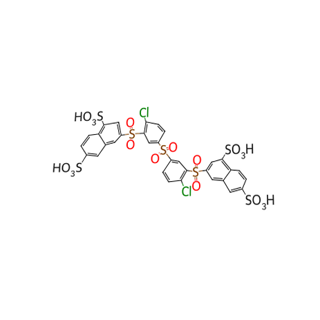 O=S(=O)(O)c1ccc2c(S(=O)(=O)O)cc(S(=O)(=O)c3cc(S(=O)(=O)c4ccc(Cl)c(S(=O)(=O)c5cc(S(=O)(=O)O)c6ccc(S(=O)(=O)O)cc6c5)c4)ccc3Cl)cc2c1